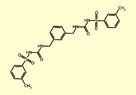 Cc1cccc(S(=O)(=O)NC(=O)NCc2cccc(CNC(=O)NS(=O)(=O)c3cccc(C)c3)c2)c1